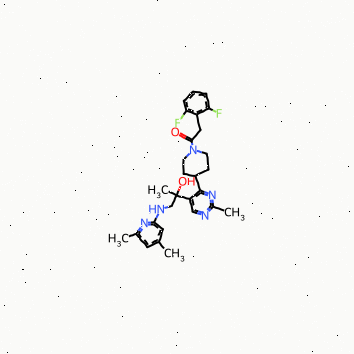 Cc1cc(C)nc(NCC(C)(O)c2cnc(C)nc2C2CCN(C(=O)Cc3c(F)cccc3F)CC2)c1